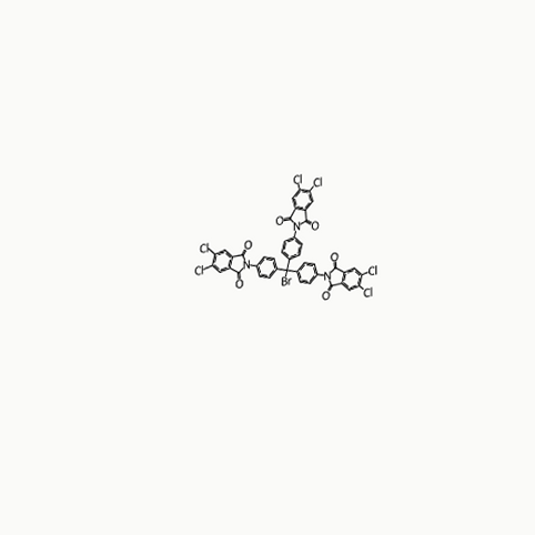 O=C1c2cc(Cl)c(Cl)cc2C(=O)N1c1ccc(C(Br)(c2ccc(N3C(=O)c4cc(Cl)c(Cl)cc4C3=O)cc2)c2ccc(N3C(=O)c4cc(Cl)c(Cl)cc4C3=O)cc2)cc1